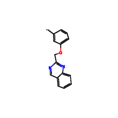 [CH2]c1cccc(OCc2ncc3ccccc3n2)c1